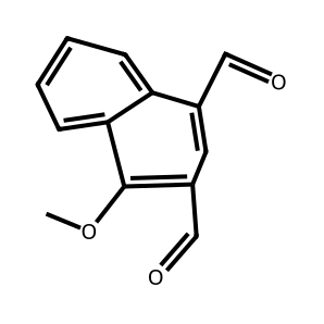 COc1c(C=O)cc(C=O)c2ccccc12